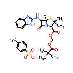 CC(C)(C)C(=O)OCOC(=O)C1N2C(=O)C(Nc3nc4ccccc4[nH]3)[C@@H]2SC1(C)C.Cc1ccc(S(=O)(=O)O)cc1